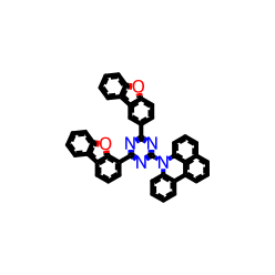 c1ccc2c(c1)-c1cccc3cccc(c13)N2c1nc(-c2ccc3oc4ccccc4c3c2)nc(-c2cccc3c2oc2ccccc23)n1